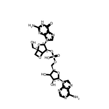 Nc1nc2c(ncn2[C@@H]2O[C@@]3(CO)COC3[C@@H]2OP(=O)(O)OC[C@H]2O[C@@H](n3cnc4c(N)ncnc43)[C@@H](O)C2O)c(=O)[nH]1